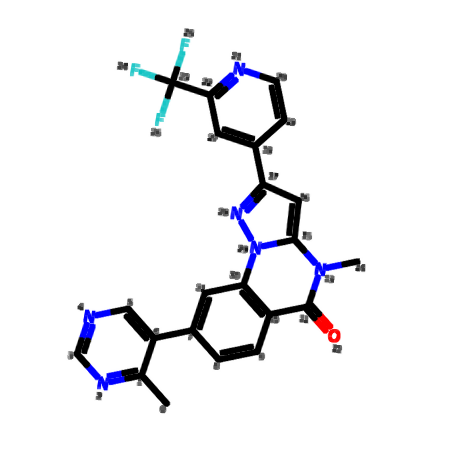 Cc1ncncc1-c1ccc2c(=O)n(C)c3cc(-c4ccnc(C(F)(F)F)c4)nn3c2c1